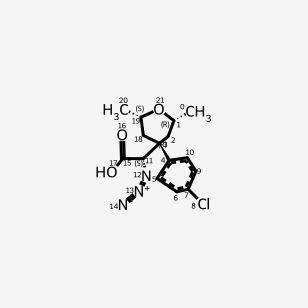 C[C@@H]1C[C@](c2ccc(Cl)cc2)([C@H](N=[N+]=[N-])C(=O)O)C[C@H](C)O1